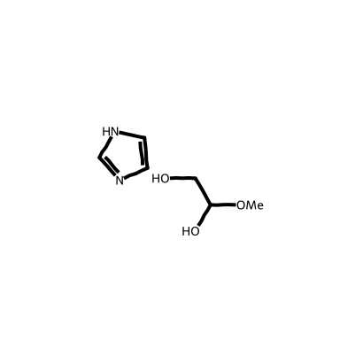 COC(O)CO.c1c[nH]cn1